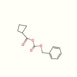 O=C(OCc1ccccc1)OC(=O)C1CCC1